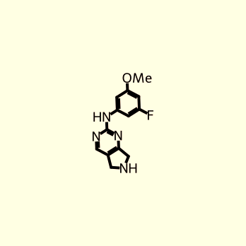 COc1cc(F)cc(Nc2ncc3c(n2)CNC3)c1